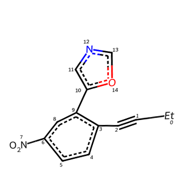 CCC#Cc1ccc([N+](=O)[O-])cc1-c1cnco1